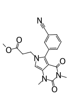 COC(=O)CCn1cc2c(c1-c1cccc(C#N)c1)c(=O)n(C)c(=O)n2C